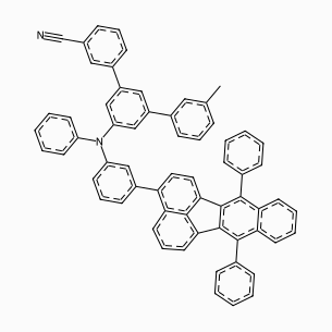 Cc1cccc(-c2cc(-c3cccc(C#N)c3)cc(N(c3ccccc3)c3cccc(-c4ccc5c6c(cccc46)-c4c-5c(-c5ccccc5)c5ccccc5c4-c4ccccc4)c3)c2)c1